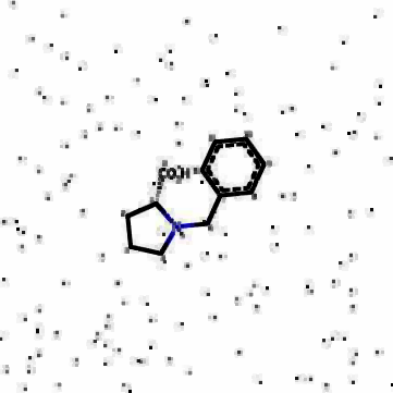 O=C(O)[C@H]1CCCN1Cc1ccccc1